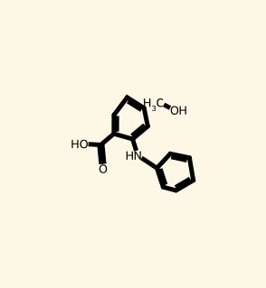 CO.O=C(O)c1ccccc1Nc1ccccc1